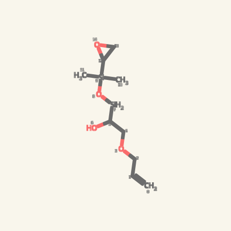 C=CCOCC(O)[SiH2]O[Si](C)(C)C1CO1